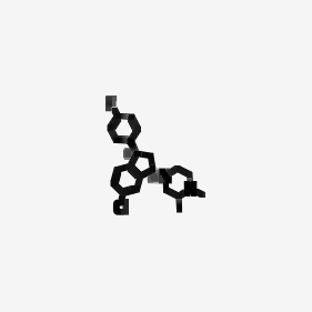 CC1CN([C@H]2C[C@H](c3ccc(F)cc3)c3ccc(Cl)cc32)CCN1C